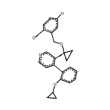 Clc1ccc(Cl)c(COC2(c3cnccc3-c3ccccc3OC3CC3)CC2)c1